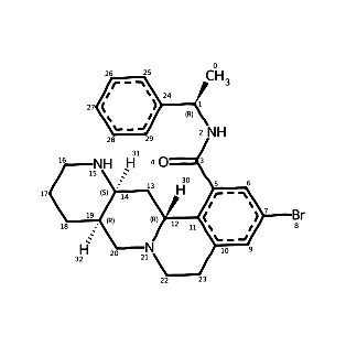 C[C@@H](NC(=O)c1cc(Br)cc2c1[C@H]1C[C@@H]3NCCC[C@@H]3CN1CC2)c1ccccc1